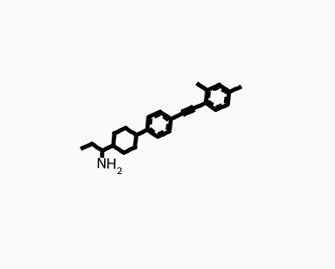 CCC(N)C1CCC(c2ccc(C#Cc3ccc(C)cc3C)cc2)CC1